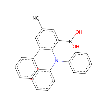 N#Cc1cc(B(O)O)c(N(c2ccccc2)c2ccccc2)c(-c2ccccc2)c1